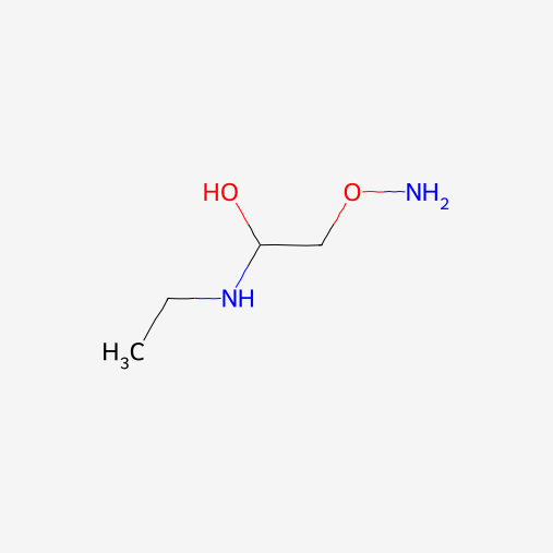 CCNC(O)CON